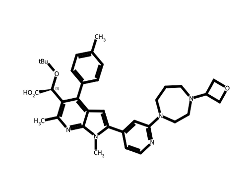 Cc1ccc(-c2c([C@H](OC(C)(C)C)C(=O)O)c(C)nc3c2cc(-c2ccnc(N4CCCN(C5COC5)CC4)c2)n3C)cc1